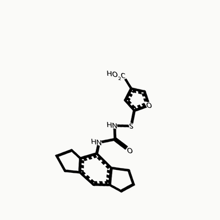 O=C(NSc1cc(C(=O)O)co1)Nc1c2c(cc3c1CCC3)CCC2